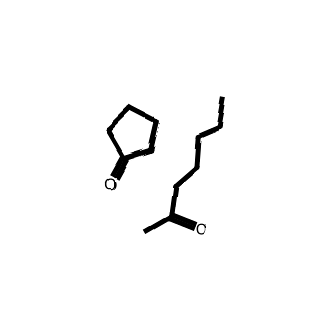 CCCCCC(C)=O.O=C1CCCC1